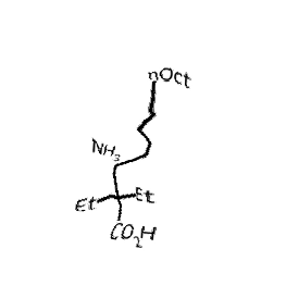 CCCCCCCCCCCCC(CC)(CC)C(=O)O.N